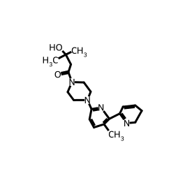 Cc1ccc(N2CCN(C(=O)CC(C)(C)O)CC2)nc1C1=NCCC=C1